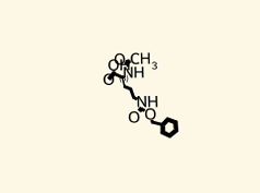 CC(=O)N[C@@H](CCCNC(=O)OCc1ccccc1)C(=O)O